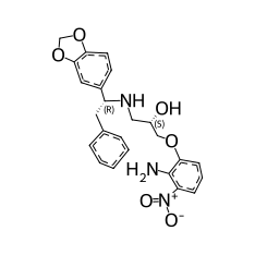 Nc1c(OC[C@@H](O)CN[C@H](Cc2ccccc2)c2ccc3c(c2)OCO3)cccc1[N+](=O)[O-]